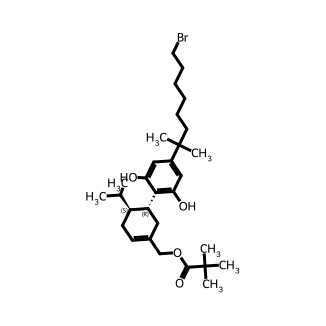 CC(C)[C@@H]1CC=C(COC(=O)C(C)(C)C)C[C@H]1c1c(O)cc(C(C)(C)CCCCCCBr)cc1O